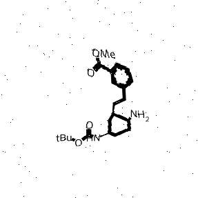 COC(=O)c1cccc(CC[C@@H]2C[C@H](NC(=O)OC(C)(C)C)CC[C@@H]2N)c1